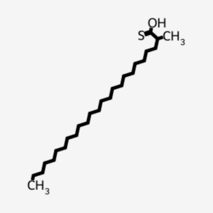 CCCCCCCCCCCCCCCCCCCCCCCC(C)C(O)=S